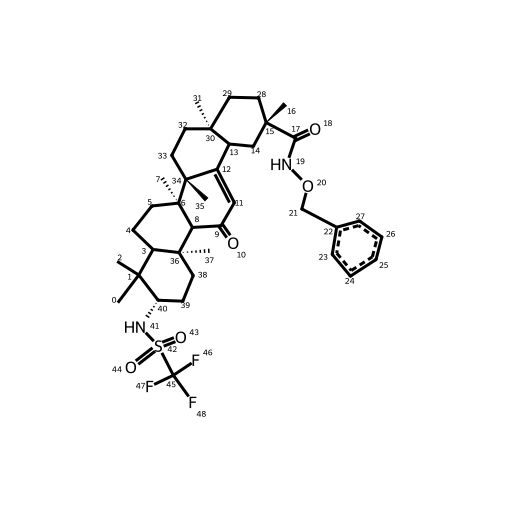 CC1(C)C2CC[C@]3(C)C(C(=O)C=C4C5C[C@@](C)(C(=O)NOCc6ccccc6)CC[C@]5(C)CC[C@]43C)[C@@]2(C)CC[C@@H]1NS(=O)(=O)C(F)(F)F